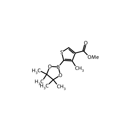 COC(=O)c1csc(B2OC(C)(C)C(C)(C)O2)c1C